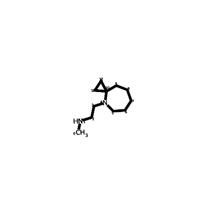 CNCCN1CCCCCC12CC2